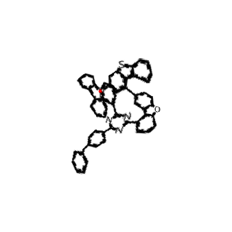 c1ccc(-c2ccc(-c3nc(-c4ccccc4)nc(-c4cccc5oc6ccc(-c7cc(-n8c9ccccc9c9ccccc98)cc8sc9ccccc9c78)cc6c45)n3)cc2)cc1